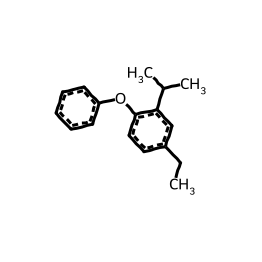 CCc1ccc(Oc2ccccc2)c(C(C)C)c1